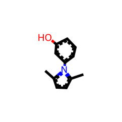 Cc1ccc(C)n1-c1cccc(O)c1